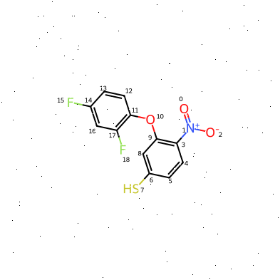 O=[N+]([O-])c1ccc(S)cc1Oc1ccc(F)cc1F